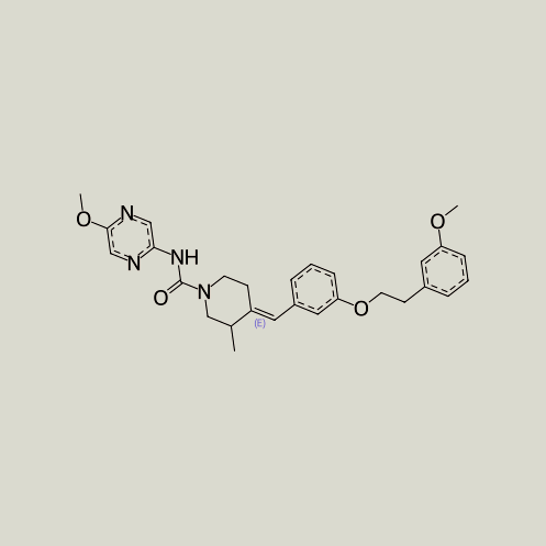 COc1cccc(CCOc2cccc(/C=C3\CCN(C(=O)Nc4cnc(OC)cn4)CC3C)c2)c1